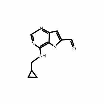 O=Cc1cc2ncnc(NCC3CC3)c2s1